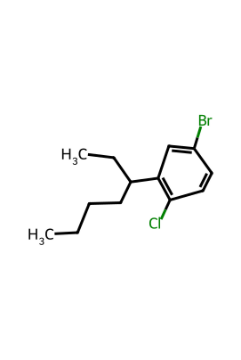 CCCCC(CC)c1cc(Br)ccc1Cl